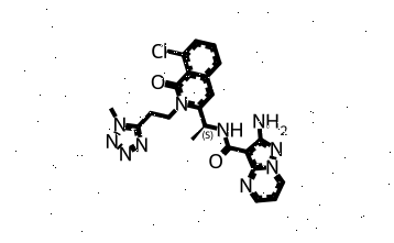 C[C@H](NC(=O)c1c(N)nn2cccnc12)c1cc2cccc(Cl)c2c(=O)n1CCc1nnnn1C